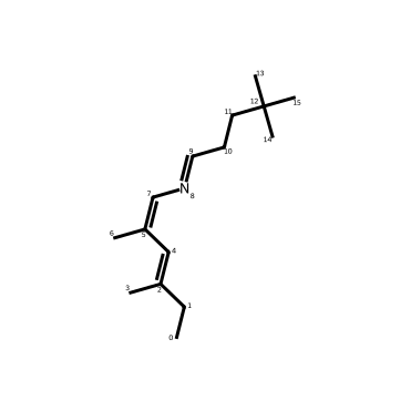 CC/C(C)=C/C(C)=C\N=C\CCC(C)(C)C